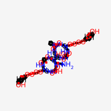 Cc1c2cccc1C(=O)NCCN(CCN1CCNC(=O)c3cccc(c3O)C(=O)NCCN(CCOCCOCCOCCOc3ccc4c(c3)CC[C@@H]3[C@@H]4CC[C@]4(C)[C@@H](O)CC[C@@H]34)CCNC(=O)c3cccc(c3OCc3ccccc3)C(=O)NCC1)CC(CCCCN)NC(=O)c1cccc(c1O)C(=O)NCCN(CCOCCOCCOCCOc1ccc3c(c1)CC[C@@H]1[C@H]4CC[C@@H](O)[C@]4(C)CC[C@@H]31)CCNC2=O